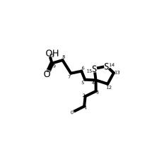 CCCCC1(CCCCC(=O)O)CCSS1